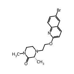 C[C@@H]1C(=O)N(C)CCN1CCOc1ccc2cc(Br)ccc2n1